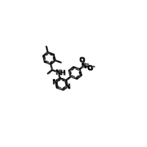 Cc1ccc(C(C)Nc2nccnc2-c2ccc([N+](=O)[O-])cc2)c(C)c1